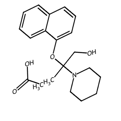 CC(=O)O.CC(CO)(Oc1cccc2ccccc12)N1CCCCC1